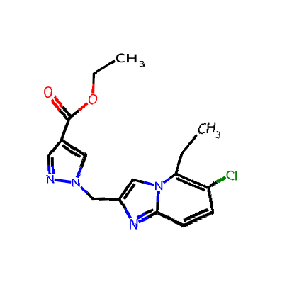 CCOC(=O)c1cnn(Cc2cn3c(CC)c(Cl)ccc3n2)c1